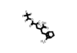 CC(CC(CC1C2CCC(C2)C1C)C(=O)O)C(=O)OC(F)C(F)(F)F